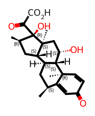 C[C@@H]1C[C@H]2[C@@H]3C[C@H](C)C4=CC(=O)C=C[C@]4(C)[C@H]3[C@@H](O)C[C@]2(C)[C@@]1(O)C(=O)C(=O)O